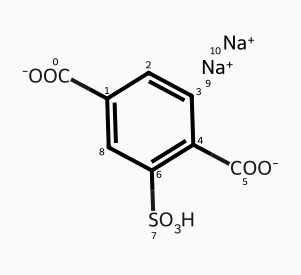 O=C([O-])c1ccc(C(=O)[O-])c(S(=O)(=O)O)c1.[Na+].[Na+]